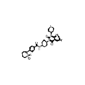 O=C(NC1CCC(n2c(=O)c3cc(F)cnc3n(C3CCSCC3)c2=O)CC1)c1ccc(N2CCCCS2(=O)=O)cc1